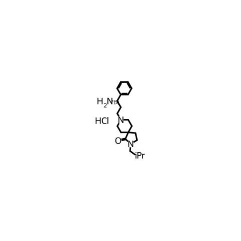 CC(C)CN1CCC2(CCN(CC[C@H](N)c3ccccc3)CC2)C1=O.Cl